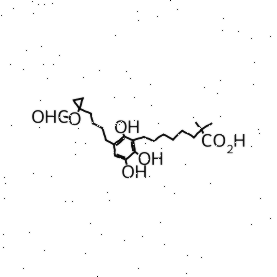 CC(C)(CCCCCCc1c(O)c(O)cc(CCCCC2(OC=O)CC2)c1O)C(=O)O